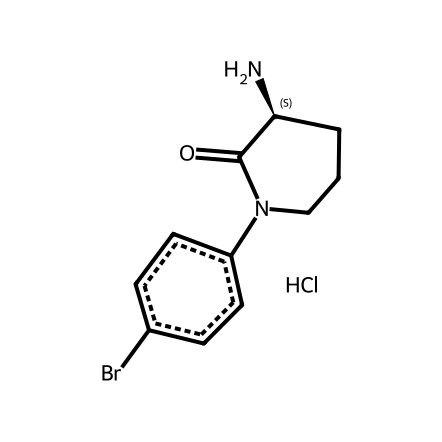 Cl.N[C@H]1CCCN(c2ccc(Br)cc2)C1=O